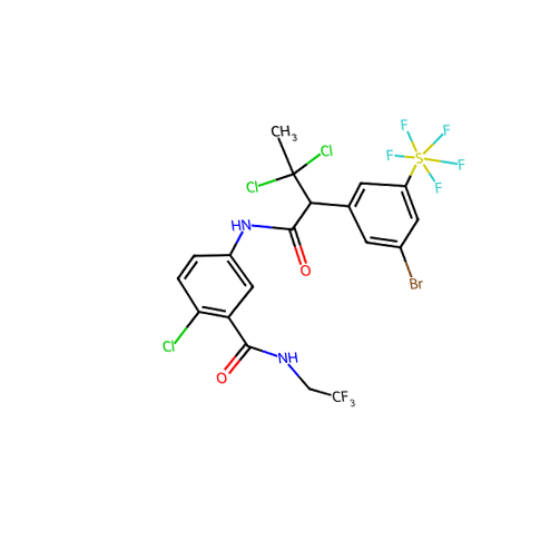 CC(Cl)(Cl)C(C(=O)Nc1ccc(Cl)c(C(=O)NCC(F)(F)F)c1)c1cc(Br)cc(S(F)(F)(F)(F)F)c1